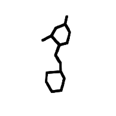 CC1CCC(CCC2CCCCC2)C(C)C1